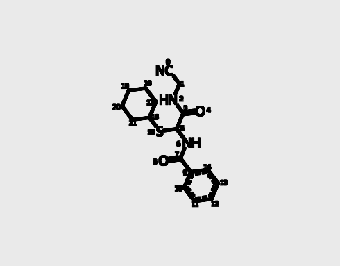 N#CCNC(=O)C(NC(=O)c1ccccc1)SC1CCCCC1